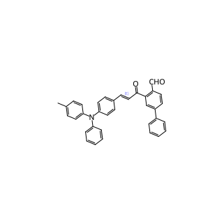 Cc1ccc(N(c2ccccc2)c2ccc(/C=C/C(=O)c3cc(-c4ccccc4)ccc3C=O)cc2)cc1